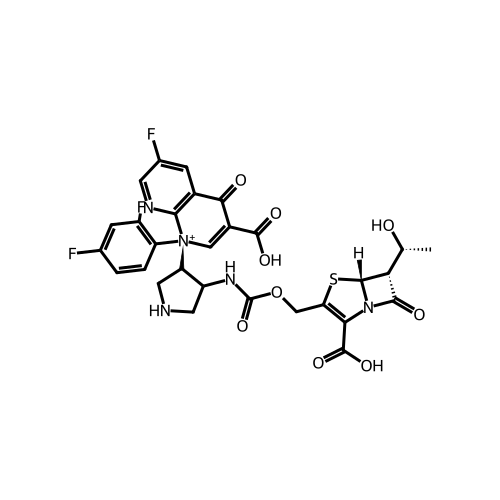 C[C@@H](O)[C@@H]1C(=O)N2C(C(=O)O)=C(COC(=O)NC3CNCC3[N@+]3(c4ccc(F)cc4F)C=C(C(=O)O)C(=O)c4cc(F)cnc43)S[C@H]12